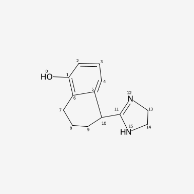 Oc1cccc2c1CCCC2C1=NCCN1